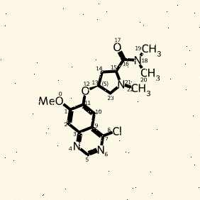 COc1cc2ncnc(Cl)c2cc1O[C@H]1CC(C(=O)N(C)C)N(C)C1